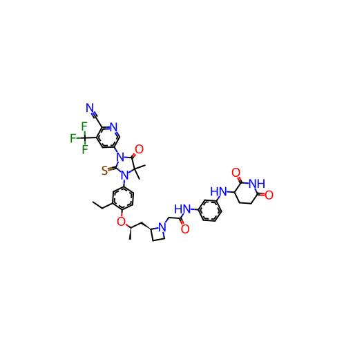 CCc1cc(N2C(=S)N(c3cnc(C#N)c(C(F)(F)F)c3)C(=O)C2(C)C)ccc1O[C@H](C)C[C@@H]1CCN1CC(=O)Nc1cccc(NC2CCC(=O)NC2=O)c1